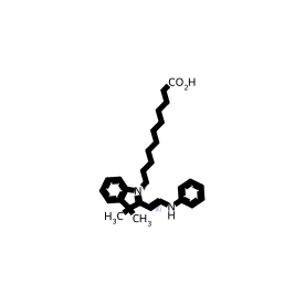 CC1(C)C(/C=C/Nc2ccccc2)=[N+](CCCCCCCCCCC(=O)O)c2ccccc21